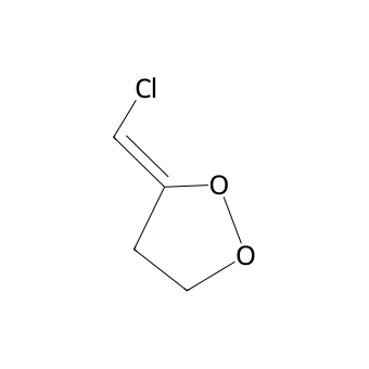 ClC=C1CCOO1